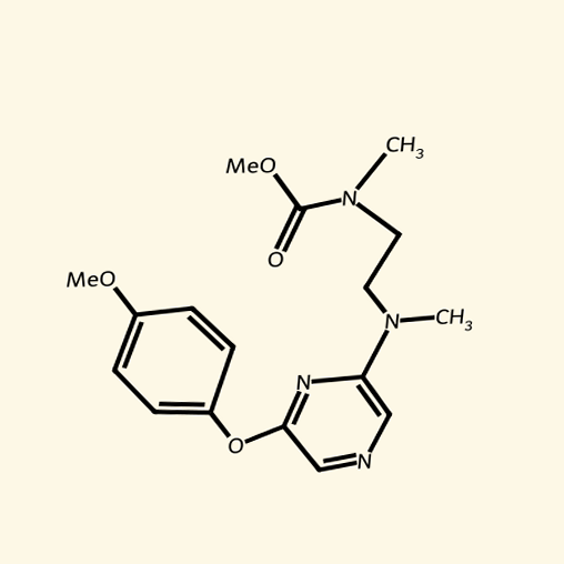 COC(=O)N(C)CCN(C)c1cncc(Oc2ccc(OC)cc2)n1